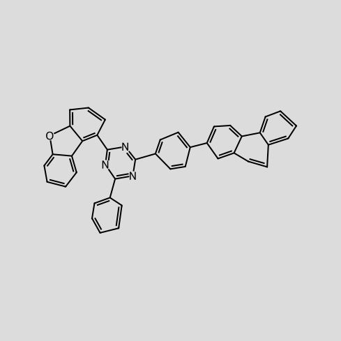 c1ccc(-c2nc(-c3ccc(-c4ccc5c(ccc6ccccc65)c4)cc3)nc(-c3cccc4oc5ccccc5c34)n2)cc1